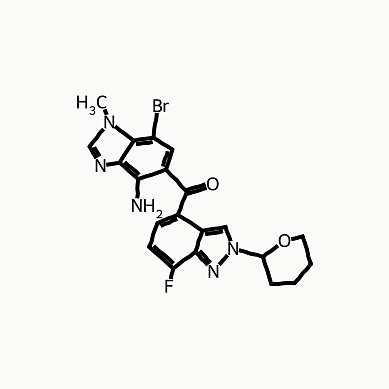 Cn1cnc2c(N)c(C(=O)c3ccc(F)c4nn(C5CCCCO5)cc34)cc(Br)c21